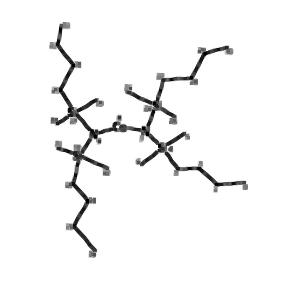 CCCC[Si](C)(C)[N]([Co][N]([Si](C)(C)CCCC)[Si](C)(C)CCCC)[Si](C)(C)CCCC